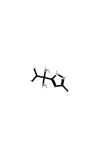 BC(B)(c1cc(C)no1)C(C)C